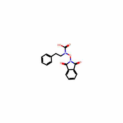 O=C(O)N(CCc1ccccc1)ON1C(=O)c2ccccc2C1=O